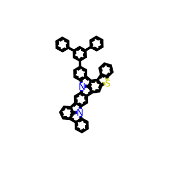 c1ccc(-c2cc(-c3ccccc3)cc(-c3ccc4c(c3)c3c5c(cc6c7cc8c(cc7n4c63)c3cccc4c6ccccc6n8c43)sc3ccccc35)c2)cc1